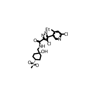 CCn1nc(C(=O)NC[C@]2(O)CC[C@@H](S(C)(=O)=O)CC2)c(Cl)c1-c1cnc(Cl)cc1C